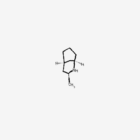 C[C@H]1C[C@H]2CCC[C@H]2N1